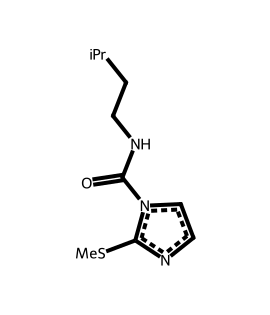 CSc1nccn1C(=O)NCCC(C)C